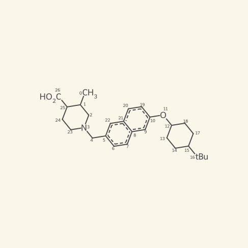 CC1CN(Cc2ccc3cc(OC4CCC(C(C)(C)C)CC4)ccc3c2)CCC1C(=O)O